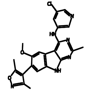 COc1cc2c(cc1-c1c(C)noc1C)[nH]c1nc(C)nc(Nc3cncc(Cl)c3)c12